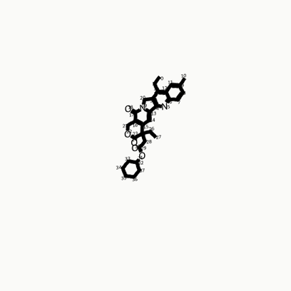 CCc1c2c(nc3ccc(C)cc13)-c1cc3c(c(=O)n1C2)COC(=O)C3(CC)CC(=O)OC1CCCCC1